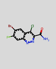 NC(=O)c1nnc2cc(F)c(Br)cc2c1Cl